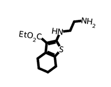 CCOC(=O)c1c(NCCN)sc2c1CCCC2